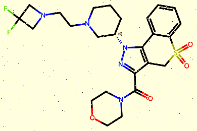 O=C(c1nn([C@H]2CCCN(CCN3CC(F)(F)C3)C2)c2c1CS(=O)(=O)c1ccccc1-2)N1CCOCC1